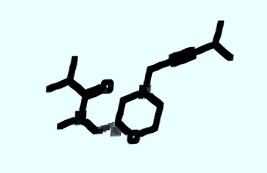 CC(C)C#CCN1CCO[C@H](CN(C)C(=O)C(C)C)C1